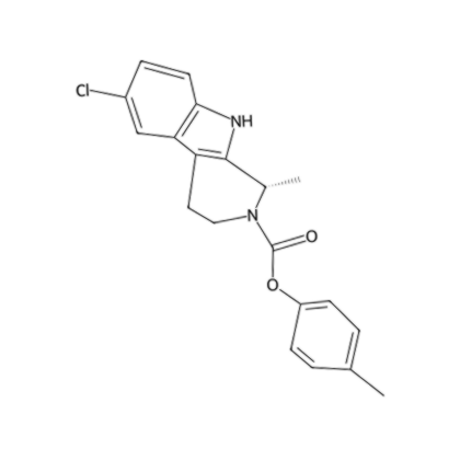 Cc1ccc(OC(=O)N2CCc3c([nH]c4ccc(Cl)cc34)[C@@H]2C)cc1